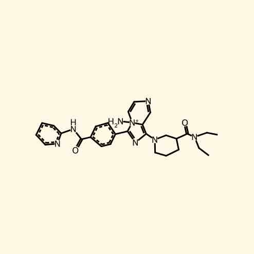 CCN(CC)C(=O)C1CCCN(C2=C3C=NC=C[N+]3(N)C(c3ccc(C(=O)Nc4ccccn4)cc3)=N2)C1